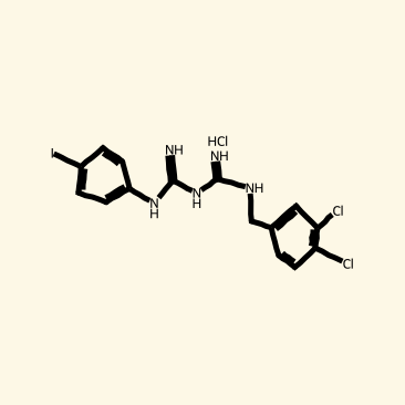 Cl.N=C(NCc1ccc(Cl)c(Cl)c1)NC(=N)Nc1ccc(I)cc1